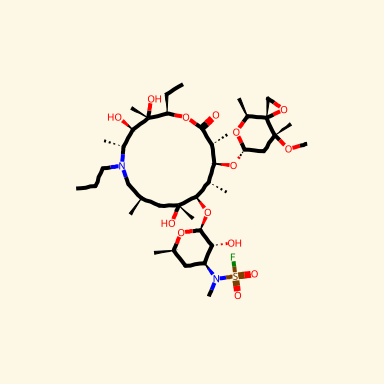 CCCN1C[C@H](C)C[C@@](C)(O)[C@H](O[C@@H]2O[C@H](C)C[C@H](N(C)S(=O)(=O)F)[C@H]2O)[C@@H](C)[C@H](O[C@H]2C[C@@](C)(OC)[C@]3(CO3)[C@H](C)O2)[C@@H](C)C(=O)O[C@H](CC)[C@@](C)(O)[C@H](O)[C@H]1C